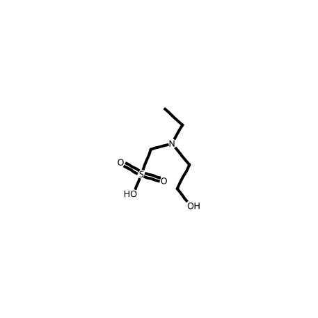 CCN(CCO)CS(=O)(=O)O